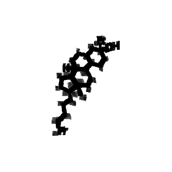 CC[C@]1(O)CCC2C(CC[C@@H]3C2CC[C@@]2(C)C3CC[C@@H]2CCCCC(C)C)C1